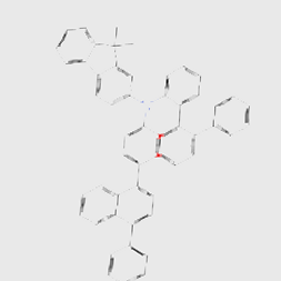 CC1(C)c2ccccc2-c2ccc(N(c3ccc(-c4ccc(-c5ccccc5)c5ccccc45)cc3)c3ccccc3-c3ccccc3-c3ccccc3)cc21